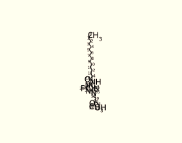 CCCCCCCCCCCCCCCC(=O)Nc1nc(F)nc2c1ncn2CCC(CO)OC